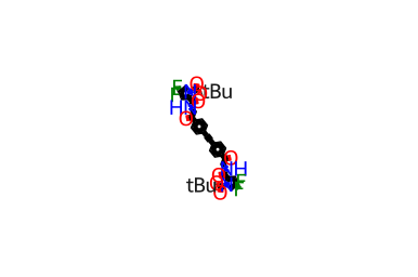 CC(C)(C)OC(=O)N1CC(F)(F)CC1C(=O)NCC(=O)c1ccc(C#Cc2ccc(C(=O)CNC(=O)C3CC(F)(F)CN3C(=O)OC(C)(C)C)cc2)cc1